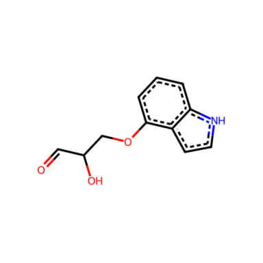 O=CC(O)COc1cccc2[nH]ccc12